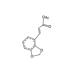 CC(=O)OC(=O)C=Cc1cccc2c1OCO2